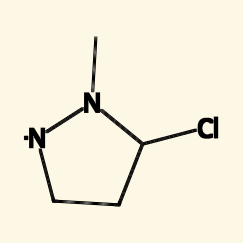 CN1[N]CCC1Cl